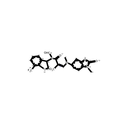 CCOC(=O)/C(=C/N(C)c1ccc2c(c1)sc(=O)n2C)C(=O)N(C=O)C1COc2c1cccc2C(F)(F)F